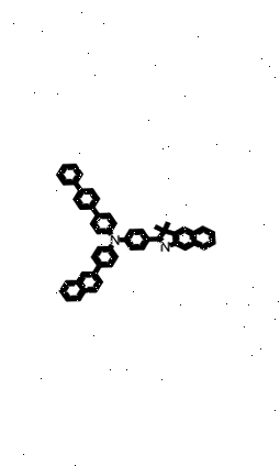 CC1(C)C(c2ccc(N(c3ccc(-c4ccc(-c5ccccc5)cc4)cc3)c3ccc(-c4ccc5ccccc5c4)cc3)cc2)=Nc2cc3ccccc3cc21